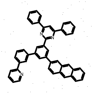 c1ccc(-c2cc(-c3ccccc3)nc(-c3cc(-c4cccc(-c5ccccn5)c4)cc(-c4ccc5cc6ccccc6cc5c4)c3)n2)cc1